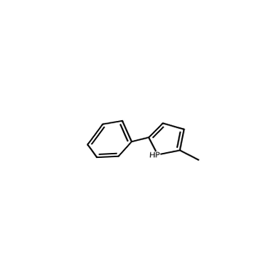 Cc1ccc(-c2ccccc2)[pH]1